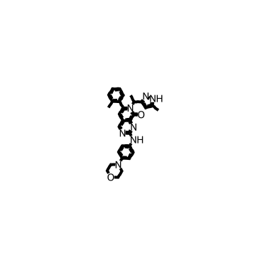 Cc1cc(C(C)n2c(-c3ccccc3C)cc3cnc(Nc4ccc(N5CCOCC5)cc4)nc3c2=O)n[nH]1